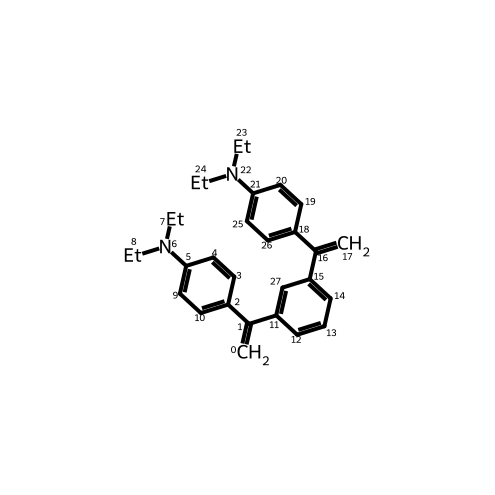 C=C(c1ccc(N(CC)CC)cc1)c1cccc(C(=C)c2ccc(N(CC)CC)cc2)c1